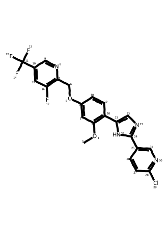 COc1cc(OCc2ncc(C(F)(F)F)cc2F)ccc1-c1cnc(-c2ccc(Cl)nc2)[nH]1